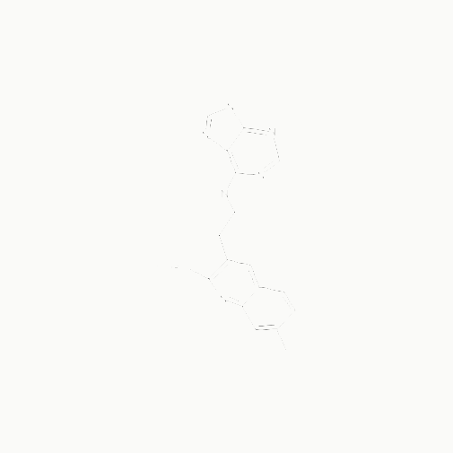 CCCCCc1nc2cc(F)ccc2cc1CCNc1ncnc2[nH]cnc12